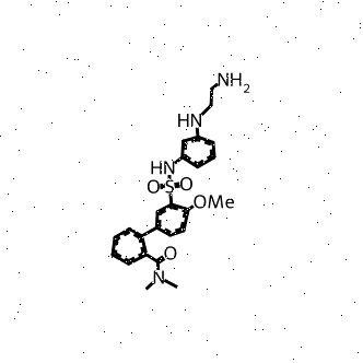 COc1ccc(-c2ccccc2C(=O)N(C)C)cc1S(=O)(=O)Nc1cccc(NCCN)c1